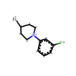 CCC1CCN(c2cccc(F)c2)CC1